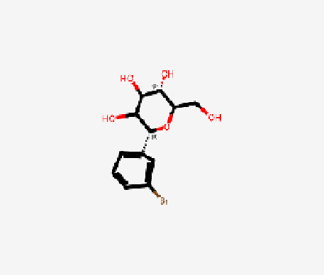 OCC1O[C@H](c2cccc(Br)c2)C(O)C(O)[C@@H]1O